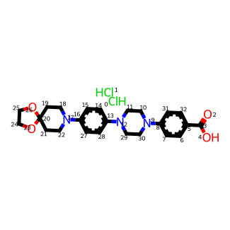 Cl.Cl.O=C(O)c1ccc(N2CCN(c3ccc(N4CCC5(CC4)OCCO5)cc3)CC2)cc1